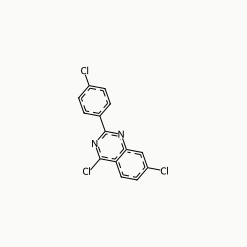 Clc1ccc(-c2nc(Cl)c3ccc(Cl)cc3n2)cc1